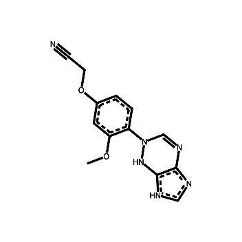 COc1cc(OCC#N)ccc1N1C=Nc2nc[nH]c2N1